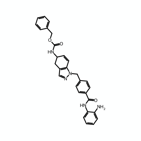 Nc1ccccc1NC(=O)c1ccc(Cn2ncc3c2C=CC(NC(=O)OCc2ccccc2)C3)cc1